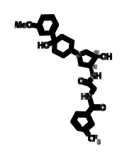 COc1cccc(C2(O)CCC(N3C[C@@H](O)[C@@H](NC(=O)CNC(=O)c4cccc(C(F)(F)F)c4)C3)CC2)c1